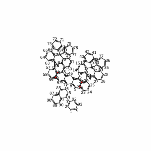 c1ccc(-c2cc(-c3c4cccc(-c5cccc6c5N(c5ccccc5)c5ccccc5C6(c5ccccc5)c5ccccc5)c4cc4c(-c5cccc6c5N(c5ccccc5)c5ccccc5C6(c5ccccc5)c5ccccc5)cccc34)cc3ccccc23)cc1